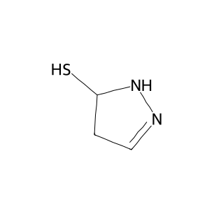 SC1CC=NN1